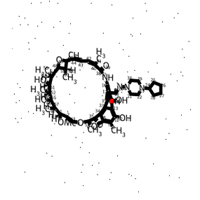 CO[C@H]1/C=C/O[C@@]2(C)Oc3c(C)c(O)c4c(O)c(c(/C=N/N5CCN(C6CCCC6)CC5)c(O)c4c3C2=O)NC(=O)/C(C)=C\C=C\[C@]2(C)O[C@H]([C@@H](C)[C@@H](O)[C@@H](C)[C@H](O)[C@@H]1C)[C@H]2C